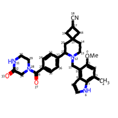 COc1cc(C)c2[nH]ccc2c1CN1CCC2(CC(C#N)C2)CC1c1ccc(C(=O)N2CCNC(=O)C2)cc1